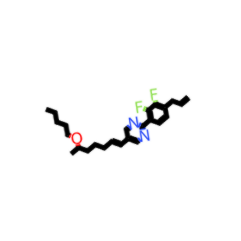 C=CCc1ccc(-c2ncc(C=CCCCC(C)OCCCCC)cn2)c(F)c1F